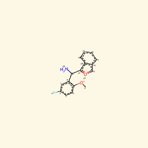 COc1ccc(F)cc1C(N)c1occ2ccccc12